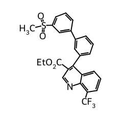 CCOC(=O)c1cnc2c(C(F)(F)F)cccc2c1-c1cccc(-c2cccc(S(C)(=O)=O)c2)c1